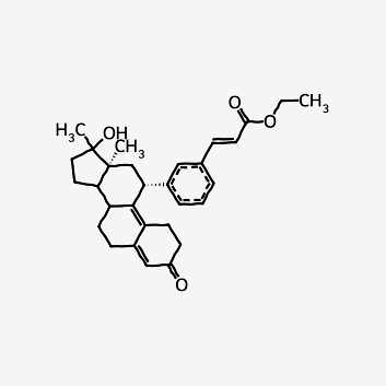 CCOC(=O)/C=C/c1cccc([C@H]2C[C@@]3(C)C(CCC3(C)O)C3CCC4=CC(=O)CCC4=C32)c1